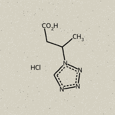 CC(CC(=O)O)n1cnnn1.Cl